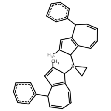 CC1=CC2=C(C=CC=CC2c2ccccc2)[CH]1[Zr]1([CH]2C(C)=CC3=C2C=CC=CC3c2ccccc2)[CH2][CH2]1